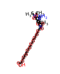 CCCN(OCC)C(=O)C1=Cc2ccc(C3(C)C(=O)CN(C(=O)CCOCCOCCOCCOCCOCCOCCOCCOCCOCCOCCC(=O)O)CC3=O)cc2N=C(N)C1